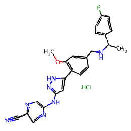 COc1cc(CNC(C)c2ccc(F)cc2)ccc1-c1cc(Nc2cnc(C#N)cn2)n[nH]1.Cl